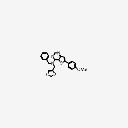 COc1ccc(-c2cc3ncnc(N(CC4=COCO4)Cc4ccccc4)c3s2)cc1